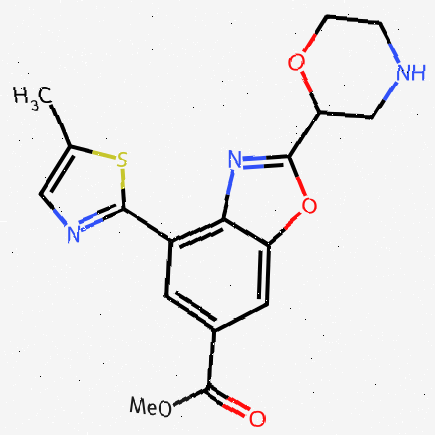 COC(=O)c1cc(-c2ncc(C)s2)c2nc(C3CNCCO3)oc2c1